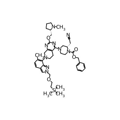 Cc1ccc2cn(COCC[Si](C)(C)C)nc2c1N1CCc2c(nc(OC[C@@H]3CCCN3C)nc2N2CCN(C(=O)OCc3ccccc3)[C@@H](CC#N)C2)C1